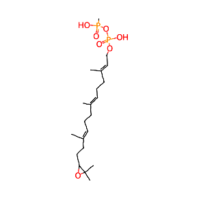 C/C(=C\CC/C(C)=C/COP(=O)(O)OP(C)(=O)O)CC/C=C(\C)CCC1OC1(C)C